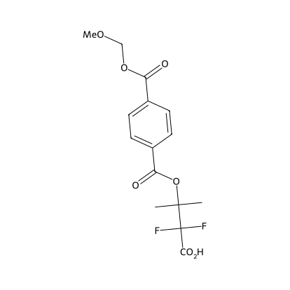 COCOC(=O)c1ccc(C(=O)OC(C)(C)C(F)(F)C(=O)O)cc1